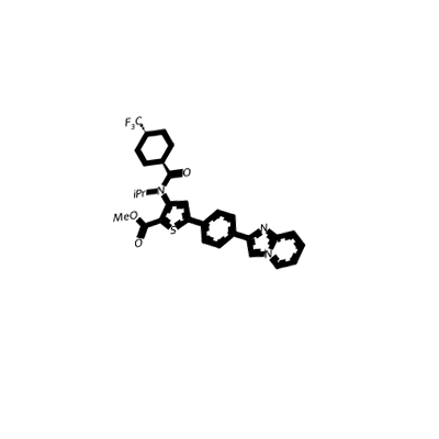 COC(=O)c1sc(-c2ccc(-c3cn4ccccc4n3)cc2)cc1N(C(=O)[C@H]1CC[C@H](C(F)(F)F)CC1)C(C)C